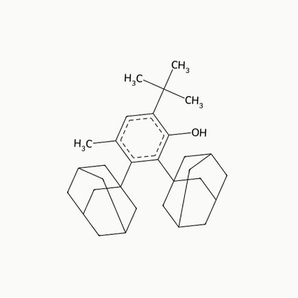 Cc1cc(C(C)(C)C)c(O)c(C23CC4CC(CC(C4)C2)C3)c1C12CC3CC(CC(C3)C1)C2